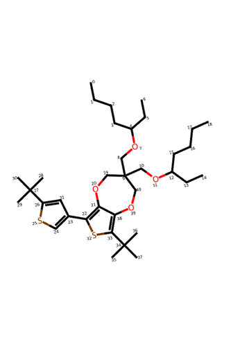 CCCCC(CC)OCC1(COC(CC)CCCC)COc2c(-c3csc(C(C)(C)C)c3)sc(C(C)(C)C)c2OC1